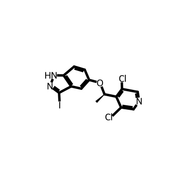 C[C@@H](Oc1ccc2[nH]nc(I)c2c1)c1c(Cl)cncc1Cl